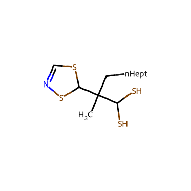 CCCCCCCCC(C)(C(S)S)C1SC=NS1